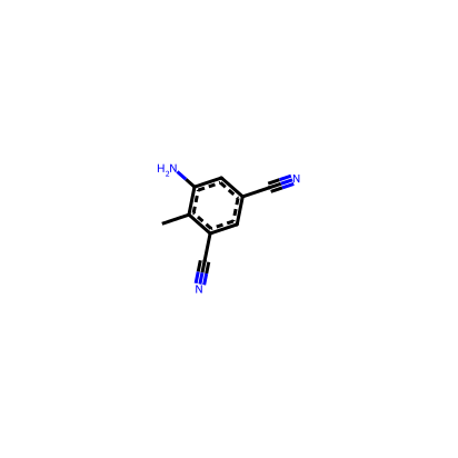 Cc1c(N)cc(C#N)cc1C#N